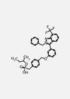 CCC(C)OP(=O)(O)Cc1ccc(COc2cccc(-c3c4cccc(C(F)(F)F)c4nn3Cc3ccccc3)c2)cc1